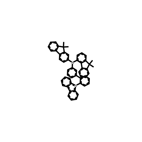 CC1(C)c2ccccc2-c2ccc(N(c3cccc(-c4ccccc4-n4c5ccccc5c5ccccc54)c3)c3cccc4c3-c3ccccc3C4(C)C)cc21